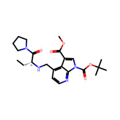 CC[C@@H](NCc1ccnc2c1c(C(=O)OC)cn2C(=O)OC(C)(C)C)C(=O)N1CCCC1